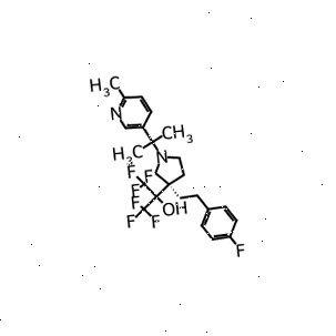 Cc1ccc(C(C)(C)N2CC[C@@](CCc3ccc(F)cc3)(C(O)(C(F)(F)F)C(F)(F)F)C2)cn1